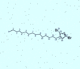 CCCCCCCCCCCCCCCc1cc(Br)sc1Br